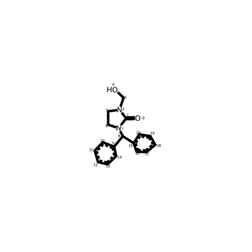 O=C1N(CO)CCN1C(c1ccccc1)c1ccccc1